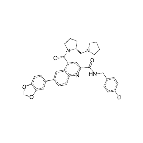 O=C(NCc1ccc(Cl)cc1)c1cc(C(=O)N2CCC[C@H]2CN2CCCC2)c2cc(-c3ccc4c(c3)OCO4)ccc2n1